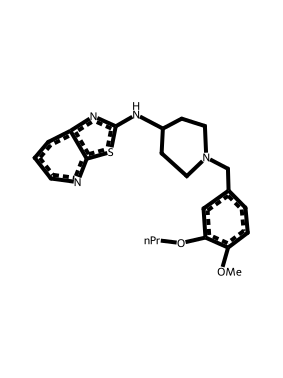 CCCOc1cc(CN2CCC(Nc3nc4cccnc4s3)CC2)ccc1OC